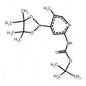 Cc1cnc(NC(=O)OC(C)(C)C)cc1B1OC(C)(C)C(C)(C)O1